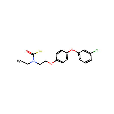 CCN(CCOc1ccc(Oc2cccc(Cl)c2)cc1)C(=O)S